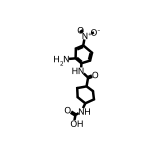 Nc1cc([N+](=O)[O-])ccc1NC(=O)C1CCC(NC(=O)O)CC1